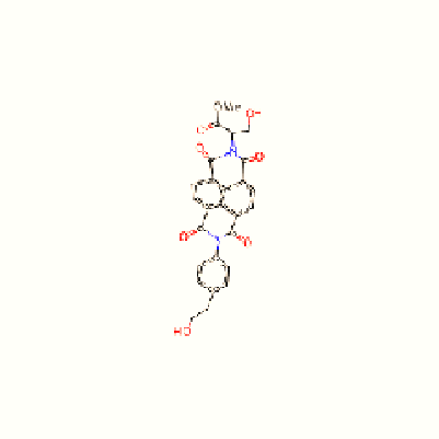 COC(=O)C(CO)N1C(=O)c2ccc3c4c(ccc(c24)C1=O)C(=O)N(c1ccc(CCO)cc1)C3=O